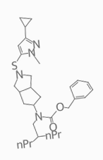 CCCC(CCC)CN(C(=O)OCc1ccccc1)C1CC2CN(Sc3cc(C4CC4)nn3C)CC2C1